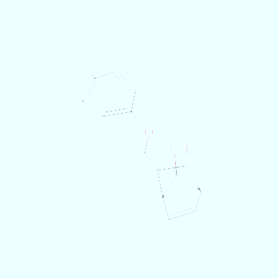 Cc1ccc(OCC2CC3C=CC2C3O)cc1